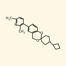 Cc1ccc(-c2ccc3c(c2)COC2(CCN(C4CCC4)CC2)O3)c(C)n1